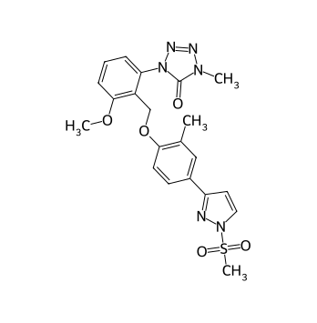 COc1cccc(-n2nnn(C)c2=O)c1COc1ccc(-c2ccn(S(C)(=O)=O)n2)cc1C